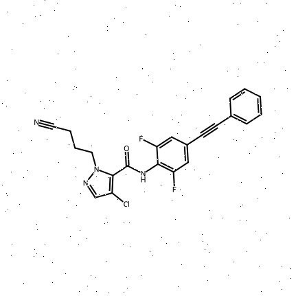 N#CCCCn1ncc(Cl)c1C(=O)Nc1c(F)cc(C#Cc2ccccc2)cc1F